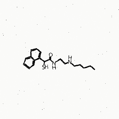 CCCCCNCCNC(=O)C(S)c1cccc2ccccc12